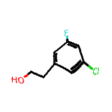 OCCc1cc(F)cc(Cl)c1